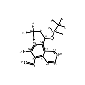 CC(C)(C)[Si](C)(C)OC(CC(F)(F)F)c1cc(F)c(C=O)c2ccncc12